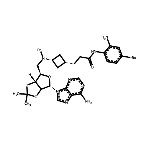 CC(C)N(C[C@H]1O[C@H](n2cnc3c(N)ncnc32)C2OC(C)(C)O[C@@H]21)[C@H]1C[C@@H](CCC(=O)Nc2ccc(C(C)(C)C)cc2N)C1